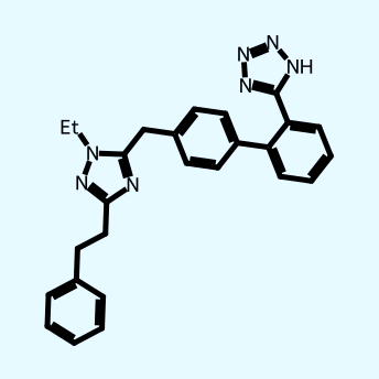 CCn1nc(CCc2ccccc2)nc1Cc1ccc(-c2ccccc2-c2nnn[nH]2)cc1